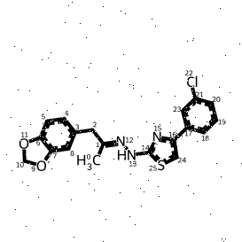 C/C(Cc1ccc2c(c1)OCO2)=N\Nc1nc(-c2cccc(Cl)c2)cs1